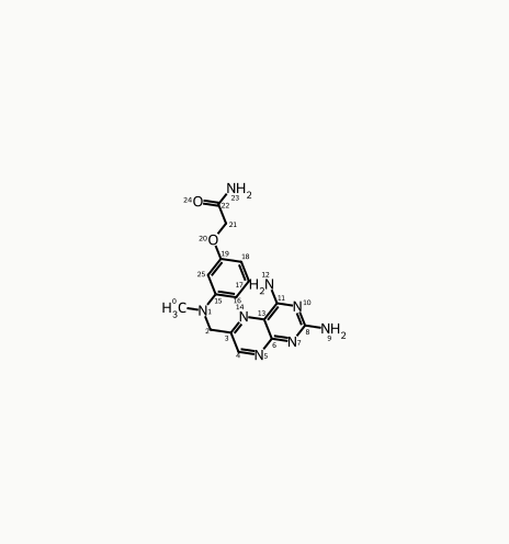 CN(Cc1cnc2nc(N)nc(N)c2n1)c1cccc(OCC(N)=O)c1